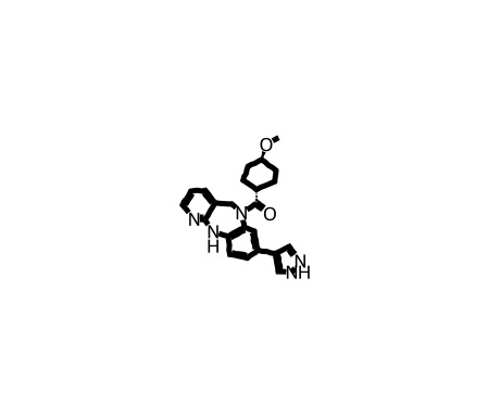 CO[C@H]1CC[C@H](C(=O)N2Cc3cccnc3Nc3ccc(-c4cn[nH]c4)cc32)CC1